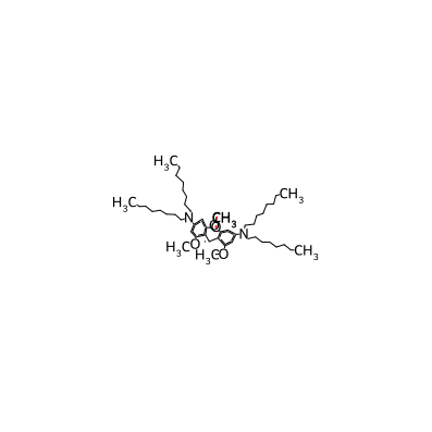 CCCCCCCCN(CCCCCCCC)c1cc(OC)c([CH]c2c(OC)cc(N(CCCCCCCC)CCCCCCCC)cc2OC)c(OC)c1